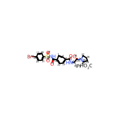 CC(C)[C@H](NC(=O)c1ccc(C(=O)NS(=O)(=O)c2ccc(Br)cc2)cc1)C(=O)N1CCC[C@H]1C(=O)O